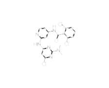 CN(C)c1nc(Cl)cc(Nc2cc(NC(=O)c3c(Cl)cccc3Cl)ccn2)n1